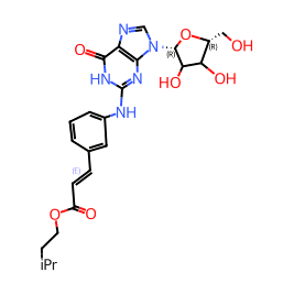 CC(C)CCOC(=O)/C=C/c1cccc(Nc2nc3c(ncn3[C@@H]3O[C@H](CO)C(O)C3O)c(=O)[nH]2)c1